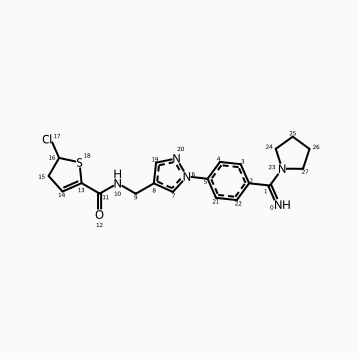 N=C(c1ccc(-n2cc(CNC(=O)C3=CCC(Cl)S3)cn2)cc1)N1CCCC1